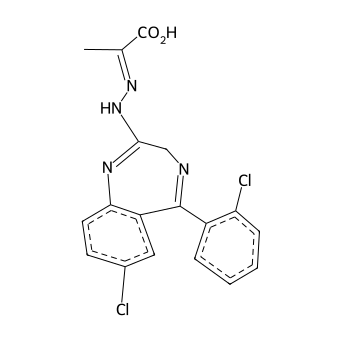 CC(=NNC1=Nc2ccc(Cl)cc2C(c2ccccc2Cl)=NC1)C(=O)O